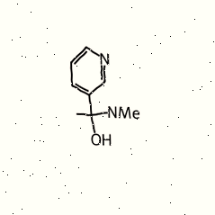 CNC(C)(O)c1cccnc1